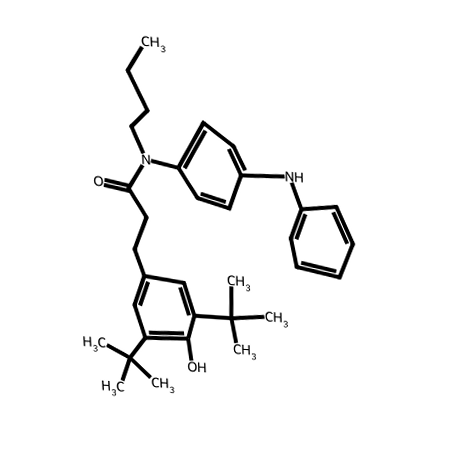 CCCCN(C(=O)CCc1cc(C(C)(C)C)c(O)c(C(C)(C)C)c1)c1ccc(Nc2ccccc2)cc1